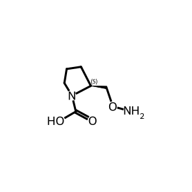 NOC[C@@H]1CCCN1C(=O)O